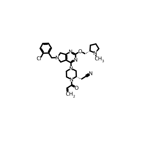 C=CC(=O)N1CCN(c2nc(OC[C@@H]3CCCN3C)nc3c2CN(Cc2ccccc2Cl)C3)C[C@@H]1CC#N